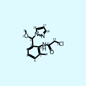 COC(c1cccc(C)c1NC(=O)CCl)n1cccn1